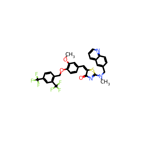 COc1cc(/C=C2/SC(N(C)Cc3ccc4ncccc4c3)=NC2=O)ccc1OCc1ccc(C(F)(F)F)cc1C(F)(F)F